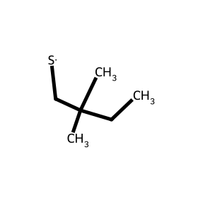 CCC(C)(C)C[S]